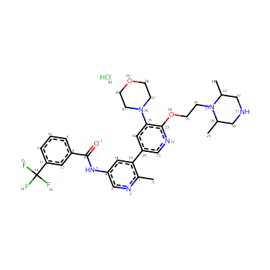 Cc1ncc(NC(=O)c2cccc(C(F)(F)F)c2)cc1-c1cnc(OCCN2C(C)CNCC2C)c(N2CCOCC2)c1.Cl